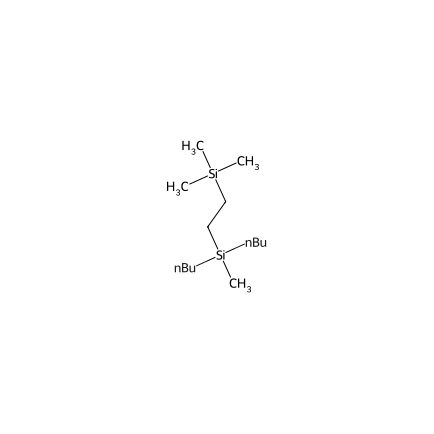 CCCC[Si](C)(CCCC)CC[Si](C)(C)C